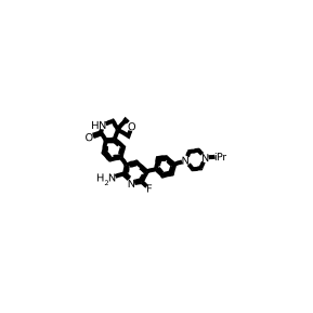 CC(C)N1CCN(c2ccc(-c3cc(-c4ccc5c(c4)C4(CNC5=O)COC4)c(N)nc3F)cc2)CC1